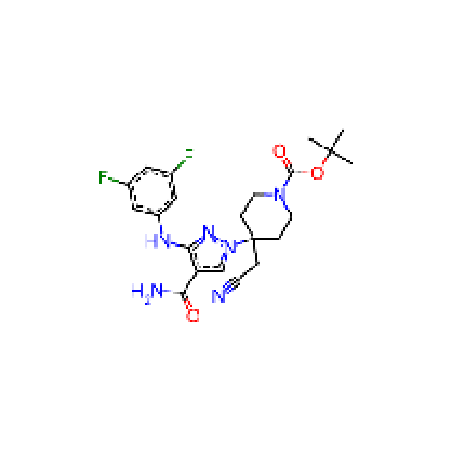 CC(C)(C)OC(=O)N1CCC(CC#N)(n2cc(C(N)=O)c(Nc3cc(F)cc(F)c3)n2)CC1